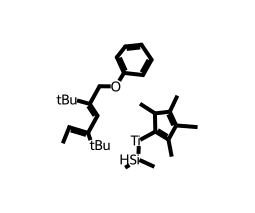 CC1=C(C)C(C)[C]([Ti][SiH](C)C)=C1C.CC=C(C=C(COc1ccccc1)C(C)(C)C)C(C)(C)C